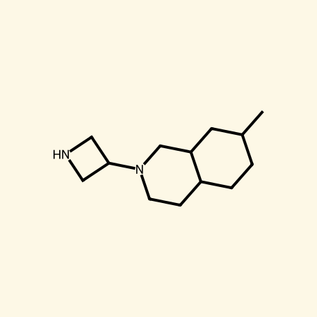 CC1CCC2CCN(C3CNC3)CC2C1